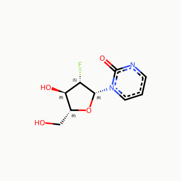 O=c1ncccn1[C@@H]1O[C@H](CO)[C@@H](O)[C@@H]1F